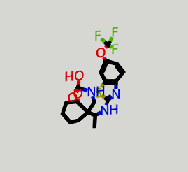 CC(Nc1nc2ccc(OC(F)(F)F)cc2s1)C1(CNC(=O)O)CCCCC1=O